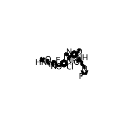 COc1cc2ncnc(Nc3ccc(Oc4nn(CC(=O)NC(C)(C)C)cc4F)cc3Cl)c2cc1NC(=O)/C=C/CN1CC[C@@H](F)C1